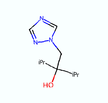 CC(C)C(O)(Cn1cncn1)C(C)C